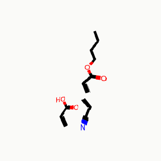 C=CC#N.C=CC(=O)O.C=CC(=O)OCCCC